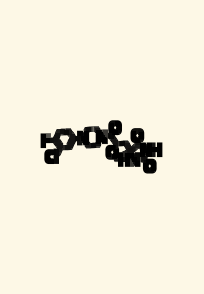 COC(CC1(C)NC(=O)NC1=O)C(=O)N1CCN(c2ccc(F)c(Cl)c2)CC1